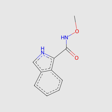 CONC(=O)c1[nH]cc2ccccc12